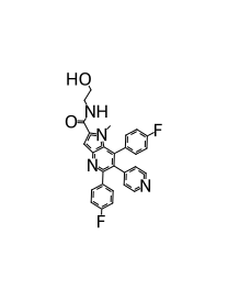 Cn1c(C(=O)NCCO)cc2nc(-c3ccc(F)cc3)c(-c3ccncc3)c(-c3ccc(F)cc3)c21